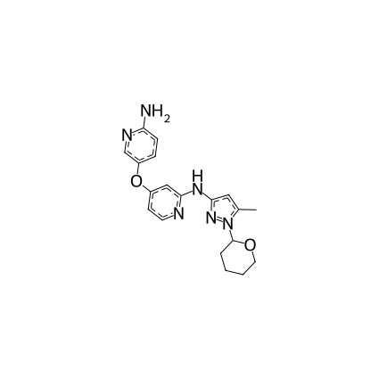 Cc1cc(Nc2cc(Oc3ccc(N)nc3)ccn2)nn1C1CCCCO1